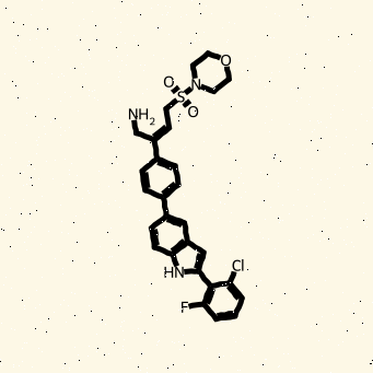 NCC(=CCS(=O)(=O)N1CCOCC1)c1ccc(-c2ccc3[nH]c(-c4c(F)cccc4Cl)cc3c2)cc1